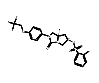 C[C@]12C[C@@H](NS(=O)(=O)c3ccccc3Cl)CN1C(=O)N(c1ccc(OCC(F)(F)F)cc1)C2